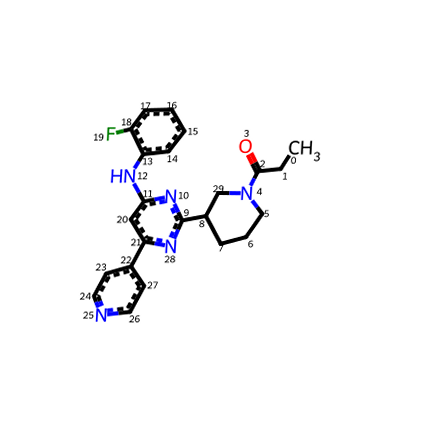 CCC(=O)N1CCCC(c2nc(Nc3ccccc3F)cc(-c3ccncc3)n2)C1